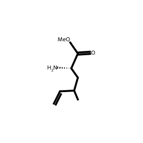 C=CC(C)C[C@H](N)C(=O)OC